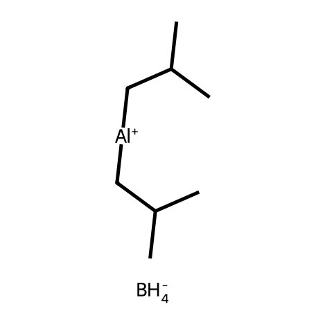 CC(C)[CH2][Al+][CH2]C(C)C.[BH4-]